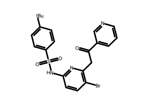 CC(C)(C)c1ccc(S(=O)(=O)Nc2ccc(Br)c(CC(=O)c3cccnc3)n2)cc1